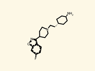 N[C@H]1CC[C@H](CCN2CCC(c3noc4cc(F)ccc34)CC2)CC1